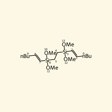 CCCCC=C[Si](CC[Si](C=CCCCC)(OC)OC)(OC)OC